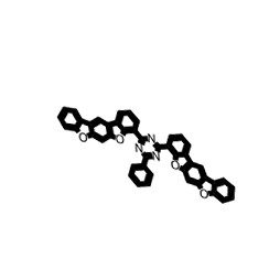 c1ccc(-c2nc(-c3cccc4c3oc3cc5oc6ccccc6c5cc34)nc(-c3cccc4c3oc3cc5oc6ccccc6c5cc34)n2)cc1